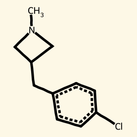 CN1CC(Cc2ccc(Cl)cc2)C1